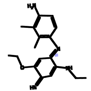 CCNC1=CC(=N)C(OCC)=C/C1=N\c1ccc(N)c(C)c1C